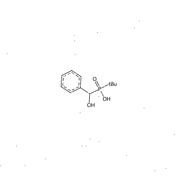 CC(C)(C)P(=O)(O)C(O)c1ccccc1